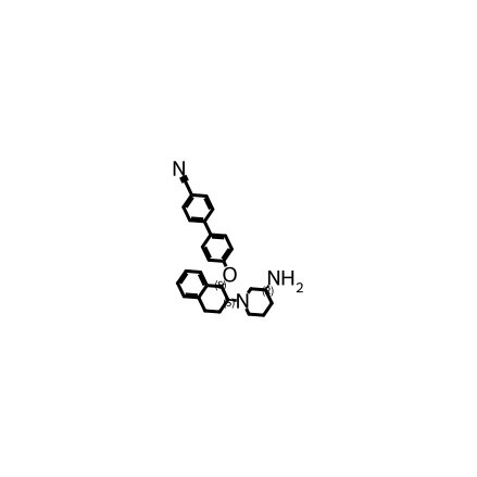 N#Cc1ccc(-c2ccc(O[C@H]3c4ccccc4CC[C@@H]3N3CCC[C@@H](N)C3)cc2)cc1